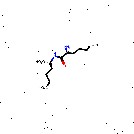 N[C@@H](CCCC(=O)O)C(=O)N[C@H](CCCC(=O)O)C(=O)O